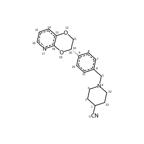 N#CC1CCN(Cc2ccc([C@H]3COc4cccnc4O3)cc2)CC1